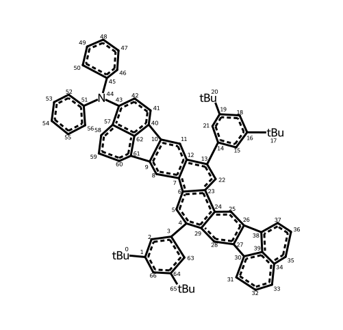 CC(C)(C)c1cc(-c2cc3c4cc5c(cc4c(-c4cc(C(C)(C)C)cc(C(C)(C)C)c4)cc3c3cc4c(cc23)-c2cccc3cccc-4c23)-c2ccc(N(c3ccccc3)c3ccccc3)c3cccc-5c23)cc(C(C)(C)C)c1